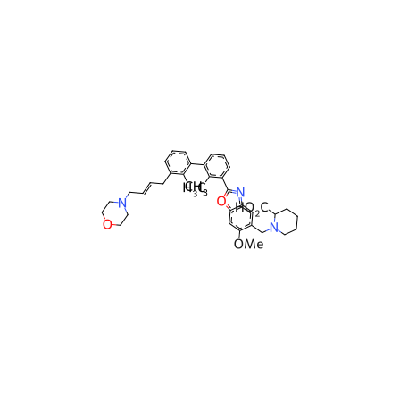 COc1cc2oc(-c3cccc(-c4cccc(C/C=C/CN5CCOCC5)c4C)c3C)nc2cc1CN1CCCCC1C(=O)O